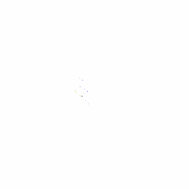 CCCN(CCC)c1nc(N2CCOCC2)cs1